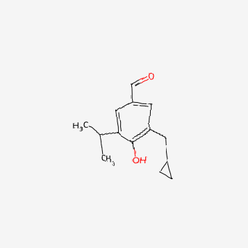 CC(C)c1cc(C=O)cc(CC2CC2)c1O